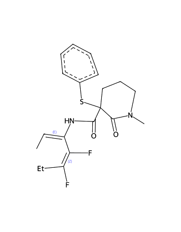 C/C=C(NC(=O)C1(Sc2ccccc2)CCCN(C)C1=O)\C(F)=C(\F)CC